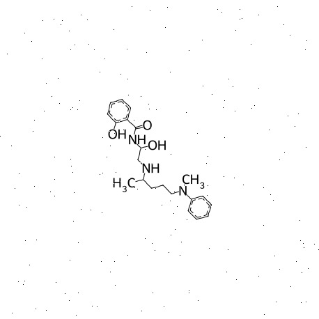 CC(CCCN(C)c1ccccc1)NCC(O)NC(=O)c1ccccc1O